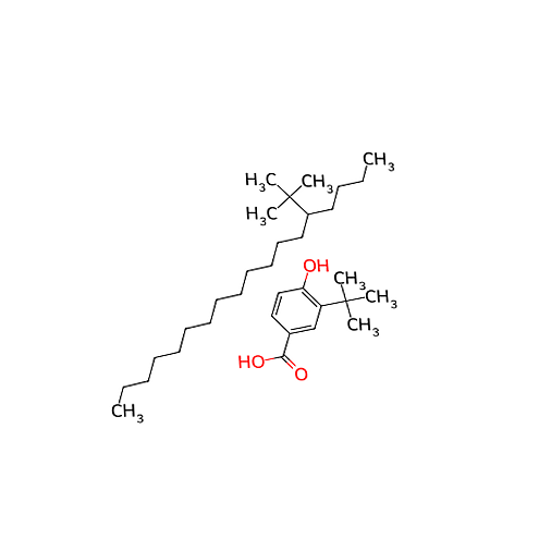 CC(C)(C)c1cc(C(=O)O)ccc1O.CCCCCCCCCCCCCC(CCCC)C(C)(C)C